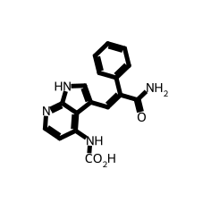 NC(=O)C(=Cc1c[nH]c2nccc(NC(=O)O)c12)c1ccccc1